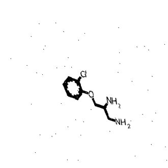 NCC(N)COc1ccccc1Cl